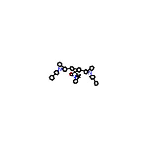 c1ccc(-c2ccc(-n3c4ccccc4c4cc(-c5ccc6c(c5)C5(c7cc(-c8ccc9c(c8)c8ccccc8n9-c8ccc(-c9ccccc9)cc8)ccc7-6)c6ccccc6-n6c7ccccc7c7cccc5c76)ccc43)cc2)cc1